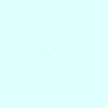 O/N=C\C1=CCCNC1